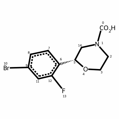 O=C(O)N1CCO[C@H](c2ccc(Br)cc2F)C1